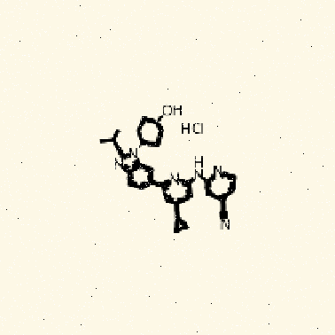 CC(C)c1nc2ccc(-c3cc(C4CC4)cc(Nc4cc(C#N)ccn4)n3)cc2n1[C@H]1CC[C@H](O)CC1.Cl